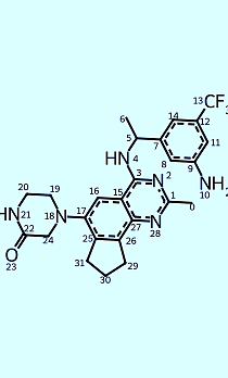 Cc1nc(NC(C)c2cc(N)cc(C(F)(F)F)c2)c2cc(N3CCNC(=O)C3)c3c(c2n1)CCC3